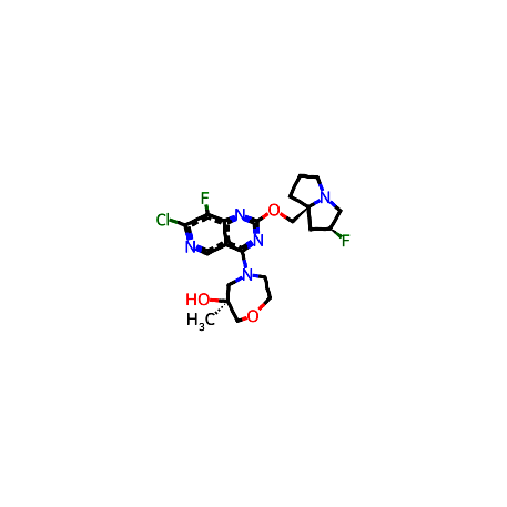 C[C@@]1(O)COCCN(c2nc(OC[C@@]34CCCN3C[C@@H](F)C4)nc3c(F)c(Cl)ncc23)C1